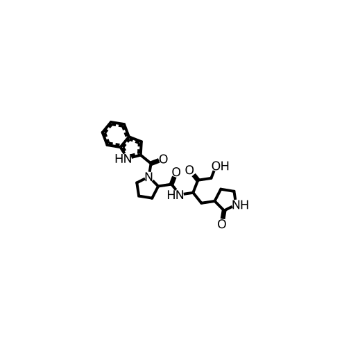 O=C1NCCC1CC(NC(=O)C1CCCN1C(=O)c1cc2ccccc2[nH]1)C(=O)CO